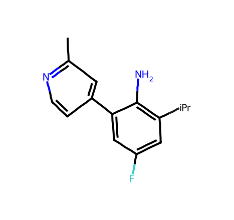 Cc1cc(-c2cc(F)cc(C(C)C)c2N)ccn1